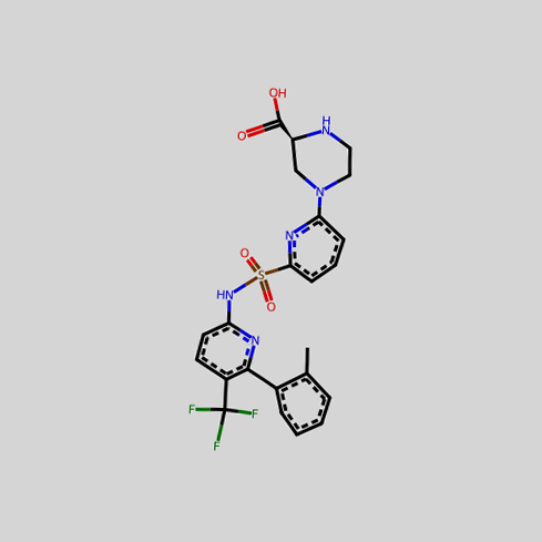 Cc1ccccc1-c1nc(NS(=O)(=O)c2cccc(N3CCN[C@H](C(=O)O)C3)n2)ccc1C(F)(F)F